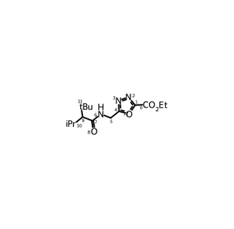 CCOC(=O)c1nnc(CNC(=O)C(C(C)C)C(C)(C)C)o1